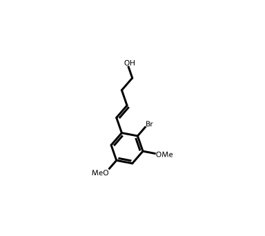 COc1cc(C=CCCO)c(Br)c(OC)c1